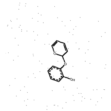 Oc1ccccc1OC1C=CC=CO1